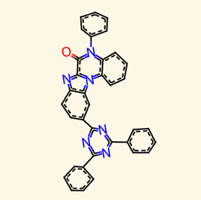 O=c1c2nc3ccc(-c4nc(-c5ccccc5)nc(-c5ccccc5)n4)cc3n2c2ccccc2n1-c1ccccc1